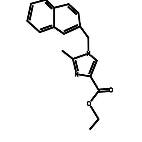 CCOC(=O)c1cn(Cc2ccc3ccccc3c2)c(C)n1